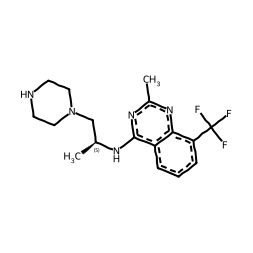 Cc1nc(N[C@@H](C)CN2CCNCC2)c2cccc(C(F)(F)F)c2n1